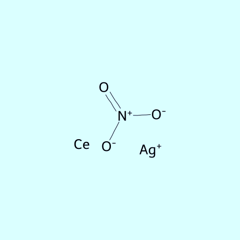 O=[N+]([O-])[O-].[Ag+].[Ce]